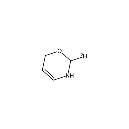 [2H]C1NC=CCO1